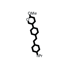 CCCC1CCC(CCC2CCC(C3CCC(OC)OC3)CC2)CC1